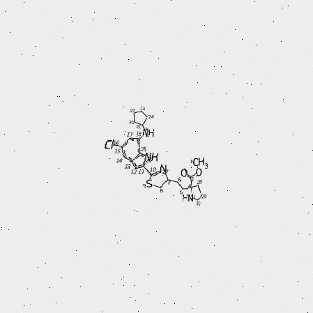 COC(=O)C1(CCC2CSC(c3cc4cc(Cl)cc(NC5CCCC5)c4[nH]3)=N2)CCCN1